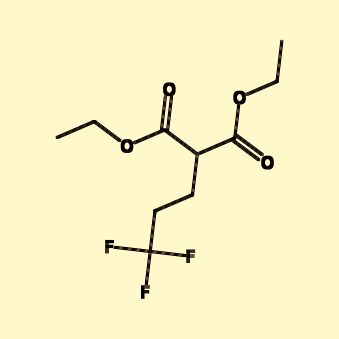 CCOC(=O)C(CCC(F)(F)F)C(=O)OCC